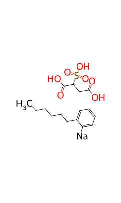 CCCCCCc1cccc[c]1[Na].O=C(O)CC(C(=O)O)S(=O)(=O)O